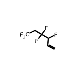 C=CC(F)C(F)(F)CC(F)(F)F